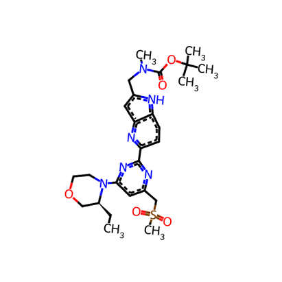 CC[C@H]1COCCN1c1cc(CS(C)(=O)=O)nc(-c2ccc3[nH]c(CN(C)C(=O)OC(C)(C)C)cc3n2)n1